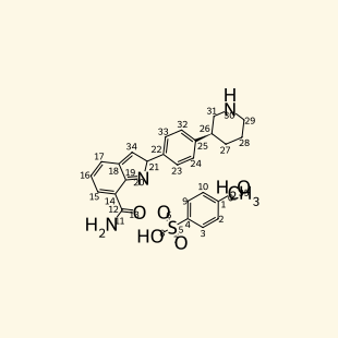 Cc1ccc(S(=O)(=O)O)cc1.NC(=O)c1cccc2c1=NC(c1ccc([C@@H]3CCCNC3)cc1)C=2.O